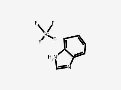 C1=Nc2ccccc2[NH2+]1.F[B-](F)(F)F